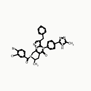 Cc1nnc(-c2ccc(-n3c(=O)c4c(n5ncc(Cc6ccccc6)c35)CN(C(=O)c3ccc(Br)c(Cl)c3)C(C)C4)cc2)[nH]1